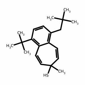 CC1(S)C=Cc2c(CC(C)(C)C)ccc(C(C)(C)C)c2C=C1